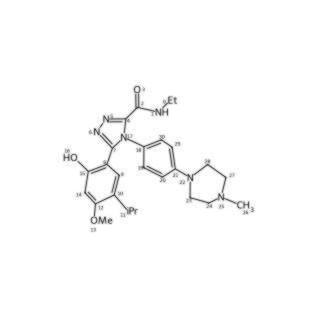 CCNC(=O)c1nnc(-c2cc(C(C)C)c(OC)cc2O)n1-c1ccc(N2CCN(C)CC2)cc1